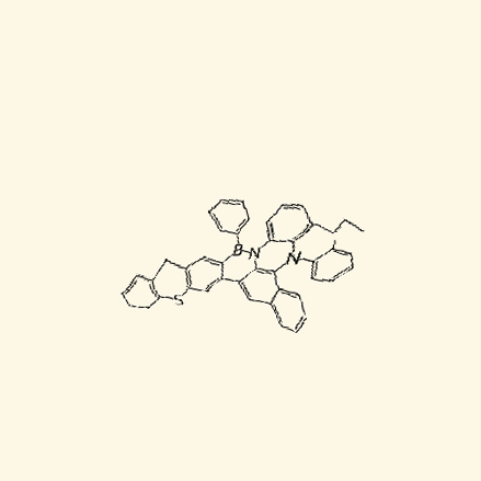 CCCc1cccc2c1N(c1ccccc1C)c1c3c(cc4ccccc14)-c1cc4c(cc1B(c1ccccc1)N23)CC1=C(CCC=C1)S4